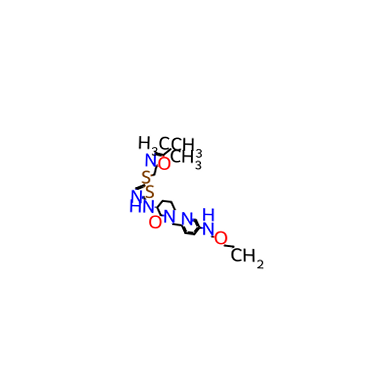 C=CCOCNc1ccc(CN2CCC[C@@H](Nc3ncc(SCc4ncc(C(C)(C)C)o4)s3)C2=O)nc1